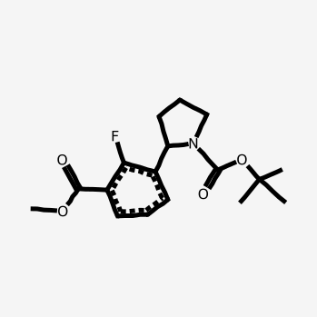 COC(=O)c1cccc(C2CCCN2C(=O)OC(C)(C)C)c1F